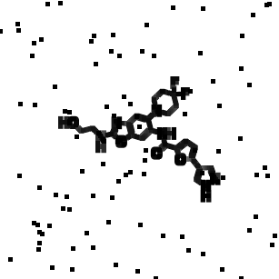 O=C(Nc1cc2oc(NCCO)nc2cc1N1CCC(F)(F)CC1)c1ccc(-c2cn[nH]c2)o1